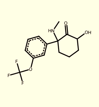 CNC1(c2cccc(OC(F)(F)F)c2)CCCC(O)C1=O